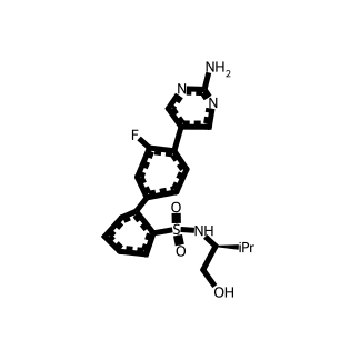 CC(C)[C@@H](CO)NS(=O)(=O)c1ccccc1-c1ccc(-c2cnc(N)nc2)c(F)c1